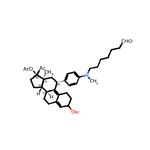 CC(=O)O[C@]1(C(C)=O)CC[C@H]2[C@@H]3CCC4=CC(O)CCC4=C3[C@@H](c3ccc(N(C)CCCCCCC=O)cc3)C[C@@]21C